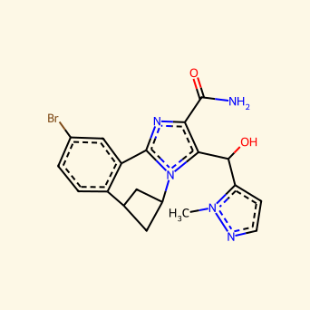 Cn1nccc1C(O)c1c(C(N)=O)nc2n1C1CC(C1)c1ccc(Br)cc1-2